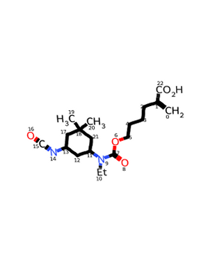 C=C(CCCCOC(=O)N(CC)C1CC(N=C=O)CC(C)(C)C1)C(=O)O